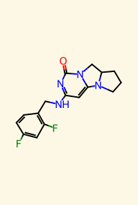 O=c1nc(NCc2ccc(F)cc2F)cc2n1CC1CCCN21